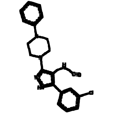 O=CNc1c(N2CCN(c3ccccc3)CC2)n[nH]c1-c1cccc(Cl)c1